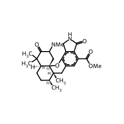 CNC1C[C@@]23Oc4c(cc(C(=O)OC)c5c4CNC5=O)C[C@]2(C)[C@@H](C)CC[C@H]3C(C)(C)C1=O